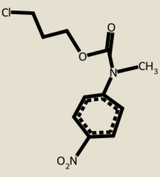 CN(C(=O)OCCCCl)c1ccc([N+](=O)[O-])cc1